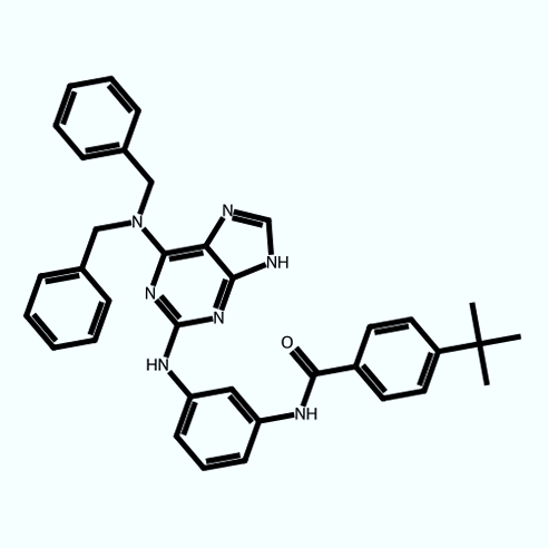 CC(C)(C)c1ccc(C(=O)Nc2cccc(Nc3nc(N(Cc4ccccc4)Cc4ccccc4)c4nc[nH]c4n3)c2)cc1